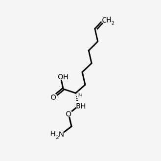 C=CCCCCC[C@H](BOCN)C(=O)O